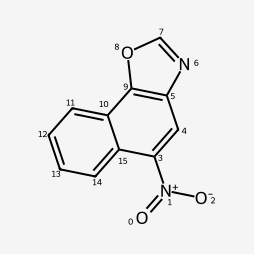 O=[N+]([O-])c1cc2ncoc2c2ccccc12